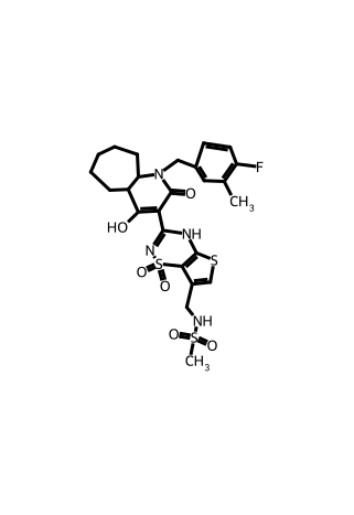 Cc1cc(CN2C(=O)C(C3=NS(=O)(=O)c4c(CNS(C)(=O)=O)csc4N3)=C(O)C3CCCCCC32)ccc1F